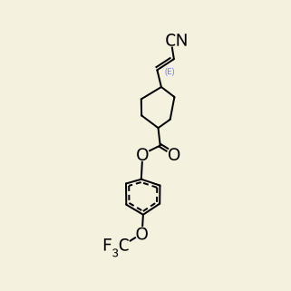 N#C/C=C/C1CCC(C(=O)Oc2ccc(OC(F)(F)F)cc2)CC1